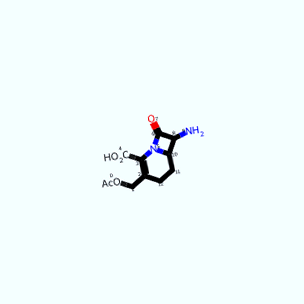 CC(=O)OCC1=C(C(=O)O)N2C(=O)C(N)C2CC1